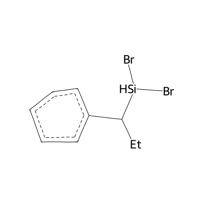 CCC(c1ccccc1)[SiH](Br)Br